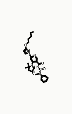 CCCCCOc1ccn(-c2cc(N3C[C@@H](C)CC3(C)C)c(C(=O)N[S+]([O-])B(C)c3ccccc3)cn2)n1